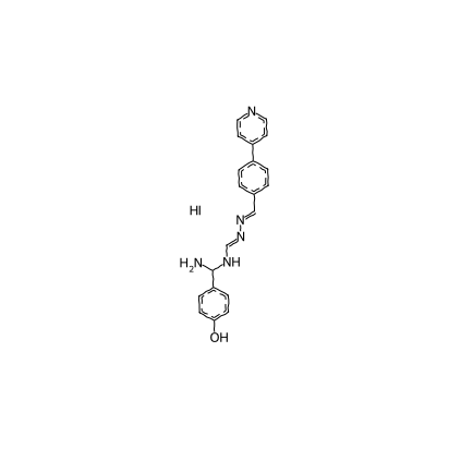 I.NC(NC=NN=Cc1ccc(-c2ccncc2)cc1)c1ccc(O)cc1